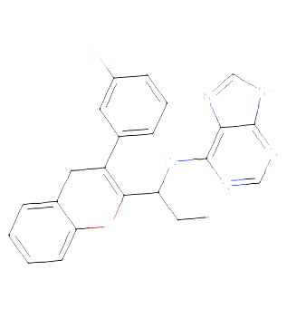 CCC(Nc1ncnc2[nH]cnc12)C1=C(c2cccc(F)c2)Cc2ccccc2O1